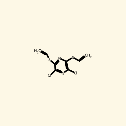 C=CSc1nc(SC=C)c(Cl)nc1Cl